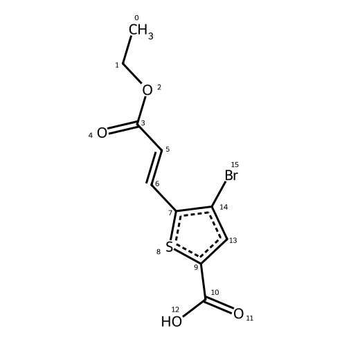 CCOC(=O)C=Cc1sc(C(=O)O)cc1Br